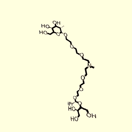 CC(C)[C@H](OCCOCCOCCN(C)CCOCCOCCO[C@@H]1OC(CO)[C@H](O)C(O)[C@@H]1C)OC(CO)[C@H](O)CO